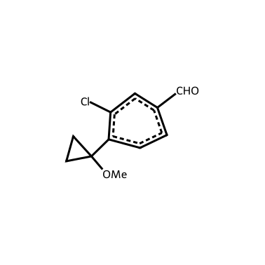 COC1(c2ccc(C=O)cc2Cl)CC1